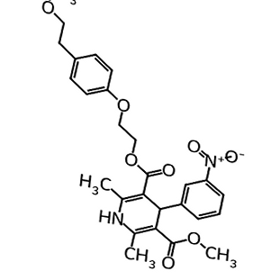 COCCc1ccc(OCCOC(=O)C2=C(C)NC(C)=C(C(=O)OC)C2c2cccc([N+](=O)[O-])c2)cc1